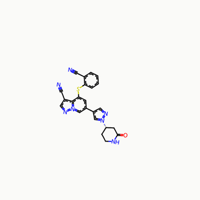 N#Cc1ccccc1Sc1cc(-c2cnn([C@H]3CCNC(=O)C3)c2)cn2ncc(C#N)c12